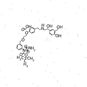 CC(C)(C)OC(=O)N(c1cccc(COCCOc2ccc(CCNC[C@H](O)c3ccc(O)c(CO)c3)cc2)c1)S(N)(=O)=O.O=CO